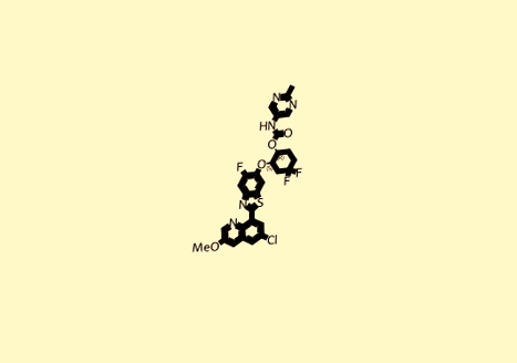 COc1cnc2c(-c3nc4cc(F)c(O[C@H]5CC(F)(F)CC[C@H]5OC(=O)Nc5cnc(C)nc5)cc4s3)cc(Cl)cc2c1